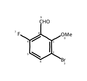 COc1c(Br)ccc(F)c1C=O